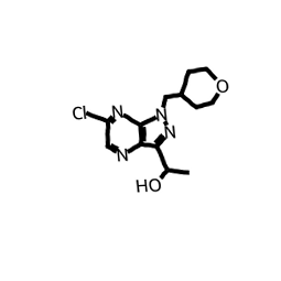 CC(O)c1nn(CC2CCOCC2)c2nc(Cl)cnc12